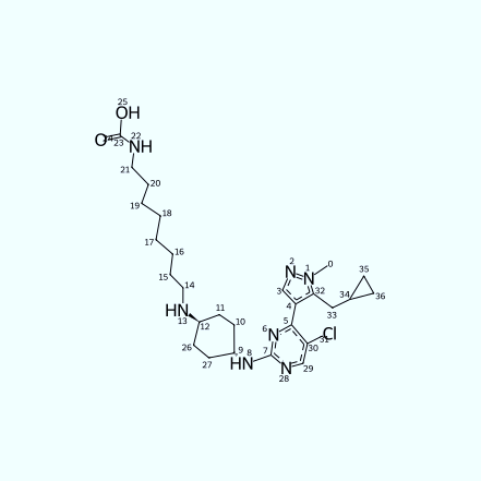 Cn1ncc(-c2nc(N[C@H]3CC[C@H](NCCCCCCCCNC(=O)O)CC3)ncc2Cl)c1CC1CC1